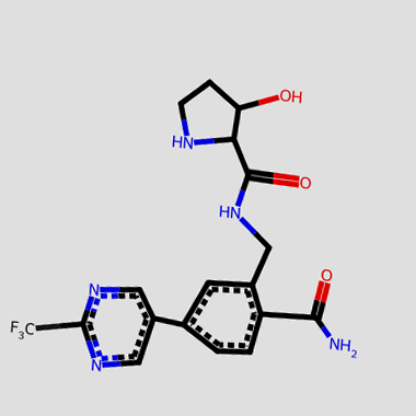 NC(=O)c1ccc(-c2cnc(C(F)(F)F)nc2)cc1CNC(=O)C1NCCC1O